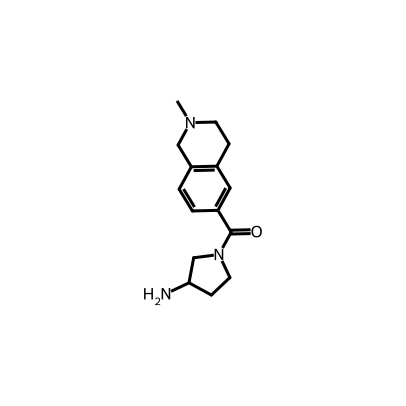 CN1CCc2cc(C(=O)N3CCC(N)C3)ccc2C1